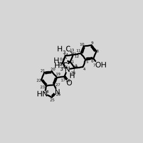 CC1(C)[C@H]2Cc3c(O)cccc3[C@]1(C)CCN2C(=O)c1cccc2[nH]cnc12